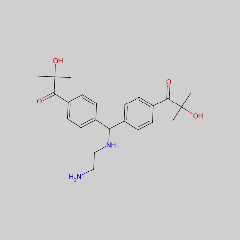 CC(C)(O)C(=O)c1ccc(C(NCCN)c2ccc(C(=O)C(C)(C)O)cc2)cc1